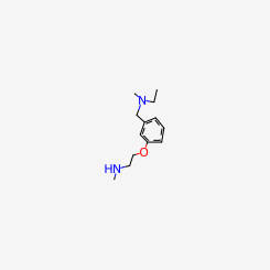 CCN(C)Cc1cccc(OCCNC)c1